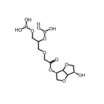 O=C(COCC(CON(O)O)ON(O)O)O[C@@H]1COC2C1OC[C@H]2O